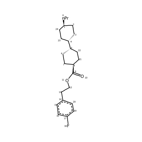 CCC[C@H]1CC[C@H]([C@H]2CC[C@H](C(=O)OCCc3ccc(F)cc3)CC2)CC1